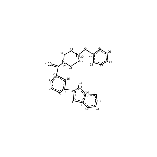 O=C(c1cccc(-c2cc3ccccc3o2)c1)N1CCN(Cc2ccccc2)CC1